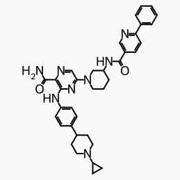 NC(=O)c1ncc(N2CCCC(NC(=O)c3ccc(-c4ccccc4)nc3)C2)nc1Nc1ccc(C2CCN(C3CC3)CC2)cc1